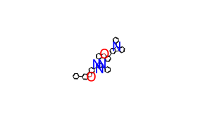 c1ccc(-c2ccc3oc4cc(-c5nc(-c6ccccc6)nc(-c6cccc7oc8c(-c9ccc%10c(c9)c9ccccc9n%10-c9ccccc9)cccc8c67)n5)ccc4c3c2)cc1